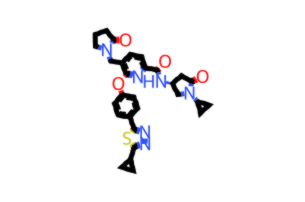 O=C(N[C@H]1CC(=O)N(C2CC2)C1)c1ccc(CN2CCCC2=O)c(Oc2ccc(-c3nnc(C4CC4)s3)cc2)n1